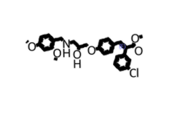 COC(=O)/C(=C/c1ccc(OCC(O)CNCc2ccc(OC)cc2OC)cc1)c1cccc(Cl)c1